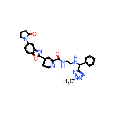 Cn1nnc(C(NCCNC(=O)c2cc(-c3nc4cc(N5CCCC5=O)ccc4o3)ccn2)c2ccccc2)n1